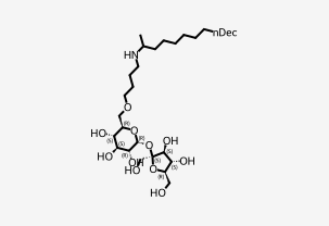 CCCCCCCCCCCCCCCCC(C)NCCCCOC[C@H]1O[C@H](O[C@]2(CO)O[C@H](CO)[C@@H](O)[C@@H]2O)[C@H](O)[C@@H](O)[C@@H]1O